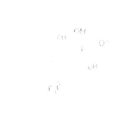 CC(CC(F)(F)F)(c1ccccc1)P(=O)(O)O